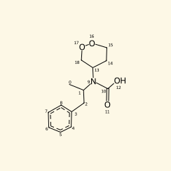 CC(Cc1ccccc1)N(C(=O)O)C1CCOOC1